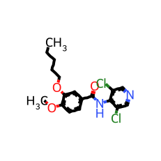 CCCCCOc1cc(C(=O)Nc2c(Cl)cncc2Cl)ccc1OC